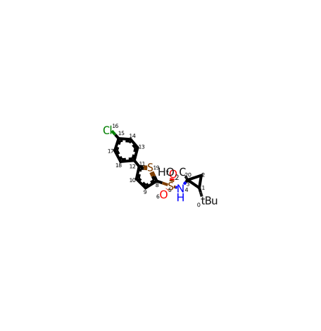 CC(C)(C)C1CC1(NS(=O)(=O)c1ccc(-c2ccc(Cl)cc2)s1)C(=O)O